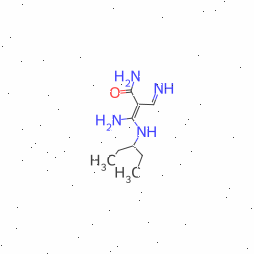 CCC(CC)N/C(N)=C(\C=N)C(N)=O